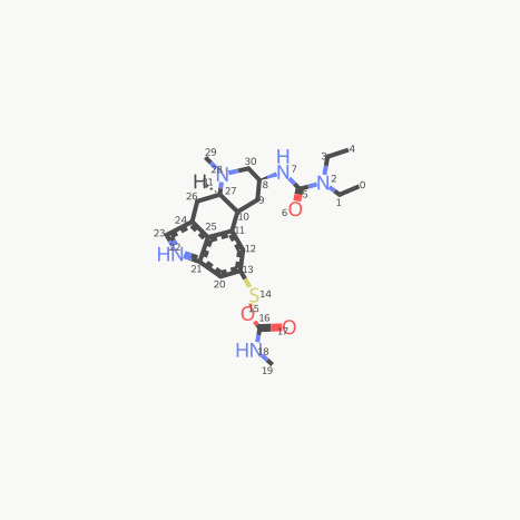 CCN(CC)C(=O)N[C@H]1CC2c3cc(SOC(=O)NC)cc4[nH]cc(c34)C[C@H]2N(C)C1